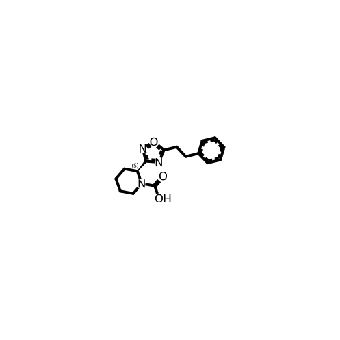 O=C(O)N1CCCC[C@H]1c1noc(CCc2ccccc2)n1